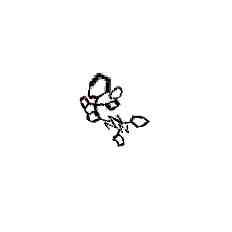 c1ccc(-c2nc(-c3ccccc3)nc(-c3ccc4c(c3)C3(c5ccccc5Oc5ccccc53)c3ccccc3-4)n2)cc1